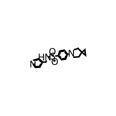 O=S(=O)(NCc1ccncc1)c1ccc(N2CCC3(CC2)CC3)cc1